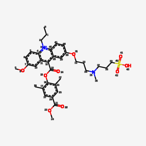 CCC[n+]1c2ccc(OC)cc2c(C(=O)Oc2c(C)cc(C(=O)OC)cc2C)c2cc(OCCCN(C)CCCS(=O)(=O)O)ccc21